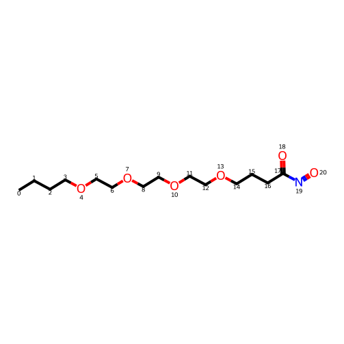 CCCCOCCOCCOCCOCCCC(=O)N=O